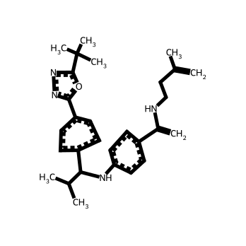 C=C(C)CCNC(=C)c1ccc(NC(c2ccc(-c3nnc(C(C)(C)C)o3)cc2)C(C)C)cc1